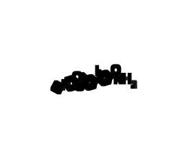 NC(=O)c1ccc(-c2ccc3c(c2)COC2(CCN(C4CCC4)CC2)O3)c(I)c1